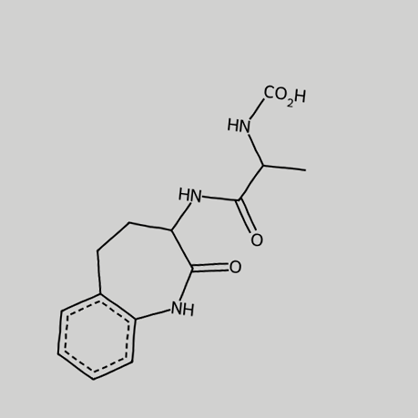 CC(NC(=O)O)C(=O)NC1CCc2ccccc2NC1=O